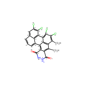 NC(=O)c1c(C(=O)O)c2c(C(=O)O)c(Cl)c(Cl)c3c4c(Cl)c(Cl)cc5cccc(c(c1C(N)=O)c23)c54